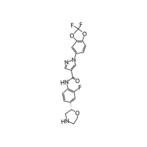 O=C(Nc1ccc([C@H]2CNCCO2)cc1F)c1cnn(-c2ccc3c(c2)OC(F)(F)O3)c1